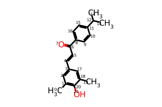 Cc1cc(C=CC(=O)c2ccc(C(C)C)cc2)cc(C)c1O